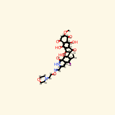 COC1=CC(=O)c2c(O)c3c(c(O)c2C1=O)C(=O)[C@]1(CCc2c1c(O)c1c(=O)[nH]c(C=NOCCN4CCOCC4)cc1c2I)C3=O